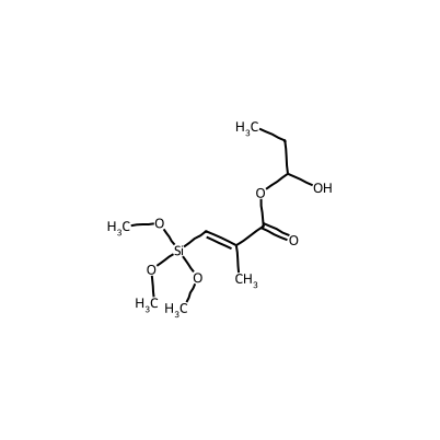 CCC(O)OC(=O)C(C)=C[Si](OC)(OC)OC